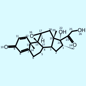 C[C@@H]1CC2C3CCC4=CC(=O)C=C[C@]4(C)[C@@]34O[C@H]4C[C@]2(C)[C@@]1(O)C(=O)CO